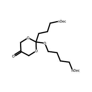 CCCCCCCCCCCCCCOC1(CCCCCCCCCCCCC)OCC(=O)CO1